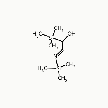 C[Si](C)(C)N=CC(O)[Si](C)(C)C